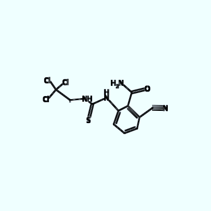 N#Cc1cccc(NC(=S)N[CH]C(Cl)(Cl)Cl)c1C(N)=O